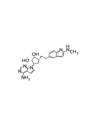 CNc1ccc2cc(CC[C@H]3C[C@@H](n4ccc5c(N)ncnc54)[C@H](O)[C@@H]3O)ccc2n1